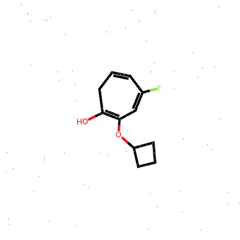 OC1=C(OC2CCC2)C=C(F)C=CC1